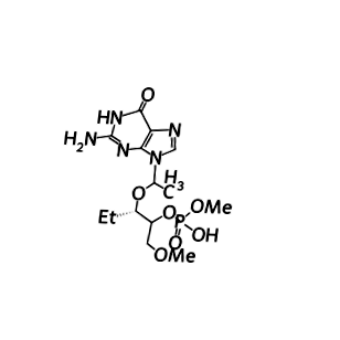 CC[C@H](OC(C)n1cnc2c(=O)[nH]c(N)nc21)C(COC)OP(=O)(O)OC